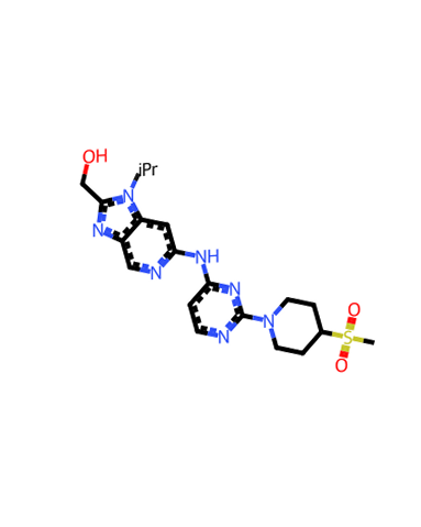 CC(C)n1c(CO)nc2cnc(Nc3ccnc(N4CCC(S(C)(=O)=O)CC4)n3)cc21